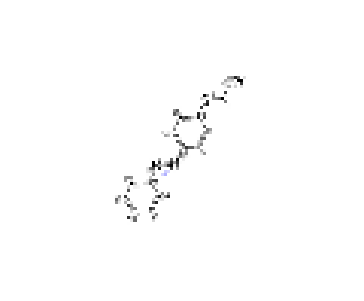 CC(C)CSc1ccc(/N=N/c2ccccc2)cc1